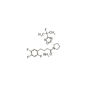 CC(C)(F)c1noc([C@@H]2CCCN2C(=O)C[C@H](N)Cc2cc(F)c(F)cc2F)n1